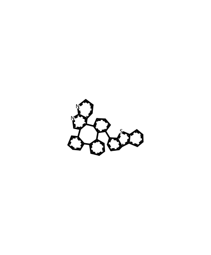 c1ccc2c(c1)-c1ccccc1-c1c(cccc1-c1cccc3c1sc1ccccc13)-c1c-2cnc2ncccc12